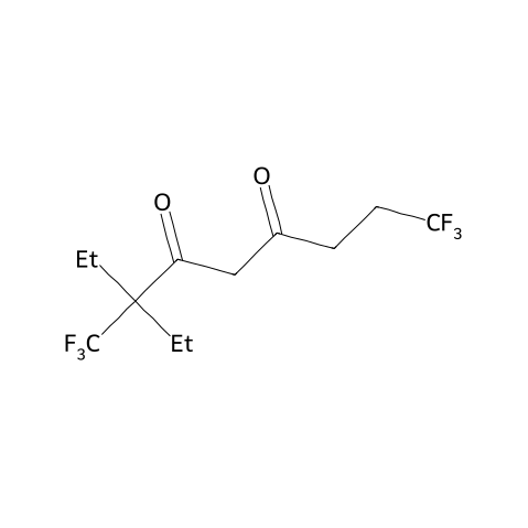 CCC(CC)(C(=O)CC(=O)CCC(F)(F)F)C(F)(F)F